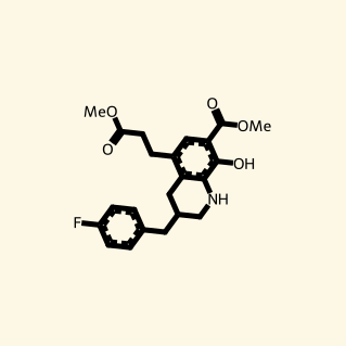 COC(=O)CCc1cc(C(=O)OC)c(O)c2c1CC(Cc1ccc(F)cc1)CN2